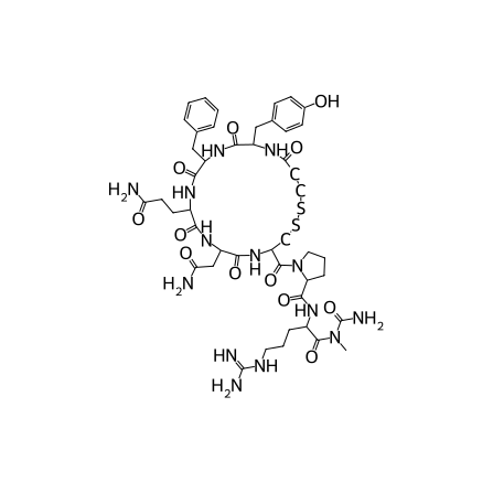 CN(C(N)=O)C(=O)C(CCCNC(=N)N)NC(=O)C1CCCN1C(=O)C1CSSCCC(=O)NC(Cc2ccc(O)cc2)C(=O)NC(Cc2ccccc2)C(=O)NC(CCC(N)=O)C(=O)NC(CC(N)=O)C(=O)N1